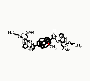 C=CCOC(=O)N[C@@H](CCSC)C(=O)N1CCC[C@H]1c1nc(-c2ccc(-c3cc4ccc3CCc3ccc(c(-c5ccc(-c6c[nH]c([C@@H]7CCCN7C(=O)[C@H](CCSC)NC(=O)OCC=C)n6)cc5)c3)C[C@H]4C)cc2)c[nH]1